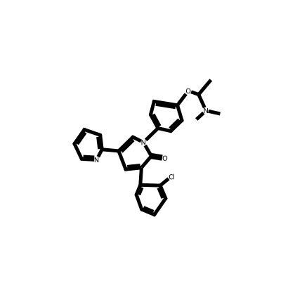 CC(Oc1ccc(-n2cc(-c3ccccn3)cc(-c3ccccc3Cl)c2=O)cc1)N(C)C